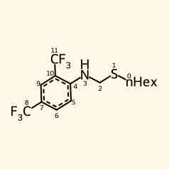 CCCCCCSCNc1ccc(C(F)(F)F)cc1C(F)(F)F